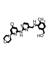 Cc1ccc(CO)cc1NCc1ccnc(Nc2cc(Cl)cc(N3CCOCC3)n2)n1